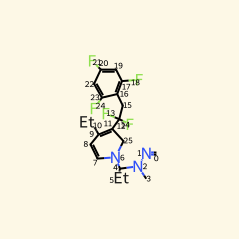 C=NN(C)C(CC)N1C=CC(CC)=C(C(F)(F)Cc2c(F)cc(F)cc2F)C1